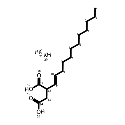 CCCCCCCCCCC=CC(CC(=O)O)C(=O)O.[KH].[KH]